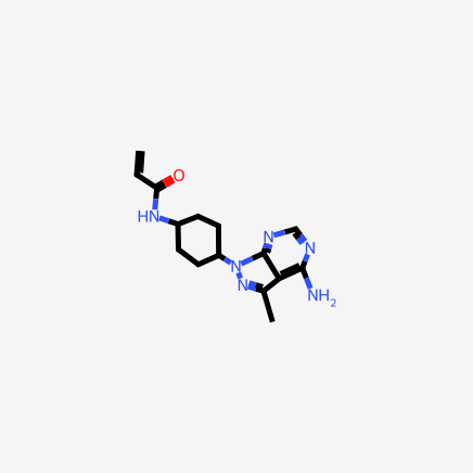 C=CC(=O)NC1CCC(n2nc(C)c3c(N)ncnc32)CC1